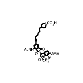 CCOc1cc(C(CS(C)(=O)=O)N2C(=O)c3cc(C#CCCCCCC4CCN(C(=O)O)CC4)cc(NC(C)=O)c3C2=O)ccc1OC